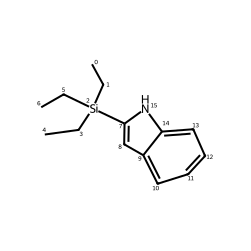 CC[Si](CC)(CC)c1cc2ccccc2[nH]1